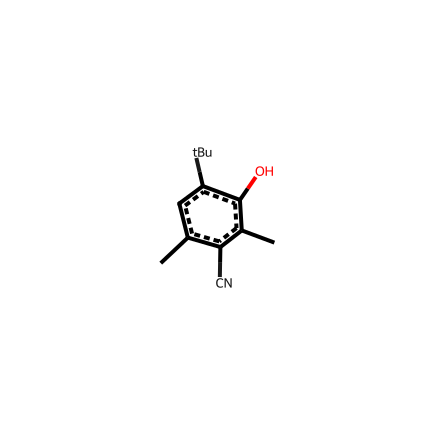 Cc1cc(C(C)(C)C)c(O)c(C)c1C#N